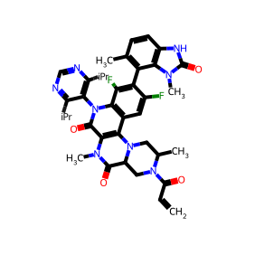 C=CC(=O)N1CC2C(=O)N(C)c3c(c4cc(F)c(-c5c(C)ccc6[nH]c(=O)n(C)c56)c(F)c4n(-c4c(C(C)C)ncnc4C(C)C)c3=O)N2CC1C